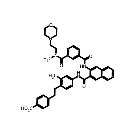 Cc1cc(NC(=O)c2cc3ccccc3cc2NC(=O)c2cccc(C(=O)N(C)CCN3CCOCC3)c2)ccc1CCc1ccc(C(=O)O)cc1